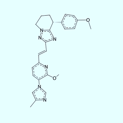 COc1ccc([C@H]2CCCn3nc(/C=C/c4ccc(-n5cnc(C)c5)c(OC)n4)nc32)cc1